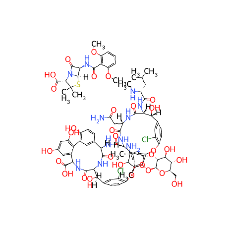 CN[C@H](CC(C)C)C(=O)N[C@H]1C(=O)N[C@@H](CC(N)=O)C(=O)N[C@H]2C(=O)N[C@H]3C(=O)N[C@H](C(=O)N[C@@H](C(=O)O)c4cc(O)cc(O)c4-c4cc3ccc4O)[C@H](O)c3ccc(c(Cl)c3)Oc3cc2cc(c3O[C@@H]2O[C@H](CO)[C@@H](O)[C@H](O)[C@H]2O[C@H]2C[C@](C)(N)C(O)[C@H](C)O2)Oc2ccc(cc2Cl)[C@H]1O.COc1cccc(OC)c1C(=O)N[C@@H]1C(=O)N2[C@@H]1SC(C)(C)[C@@H]2C(=O)O